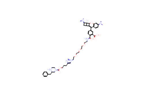 CN(C)c1ccc2c(c1)OC1C(=C2c2ccc(C(=O)NCCOCCOCCOCCn3cc(CCCOC(=O)N4CCNC(Cc5ccccc5)C4)nn3)c(C(=O)O)c2)C2CC(=[N+](C)C)[C@@H]21